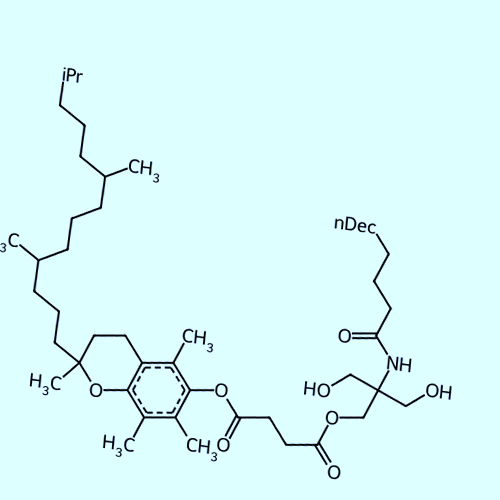 CCCCCCCCCCCCCC(=O)NC(CO)(CO)COC(=O)CCC(=O)Oc1c(C)c(C)c2c(c1C)CCC(C)(CCCC(C)CCCC(C)CCCC(C)C)O2